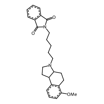 COc1cccc2c1CCC1C2CCN1CCCCCN1C(=O)c2ccccc2C1=O